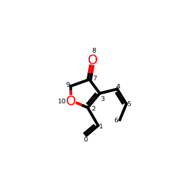 C=CC1=C(/C=C\C)C(=O)CO1